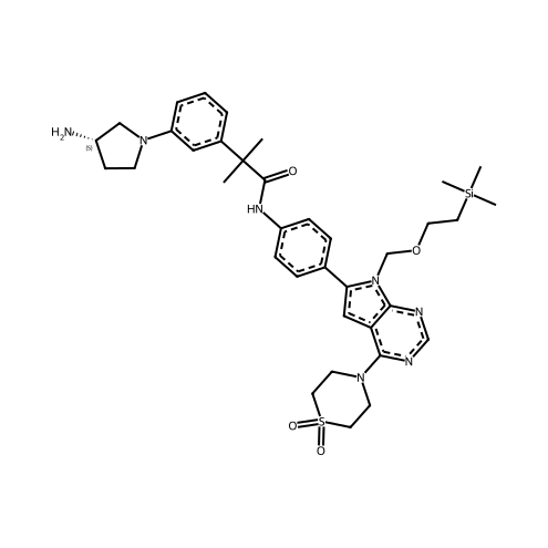 CC(C)(C(=O)Nc1ccc(-c2cc3c(N4CCS(=O)(=O)CC4)ncnc3n2COCC[Si](C)(C)C)cc1)c1cccc(N2CC[C@H](N)C2)c1